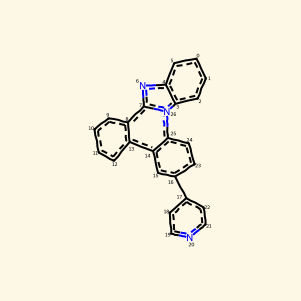 c1ccc2c(c1)nc1c3ccccc3c3cc(-c4ccncc4)ccc3n21